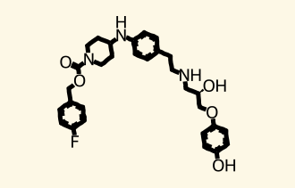 O=C(OCc1ccc(F)cc1)N1CCC(Nc2ccc(CCNC[C@H](O)COc3ccc(O)cc3)cc2)CC1